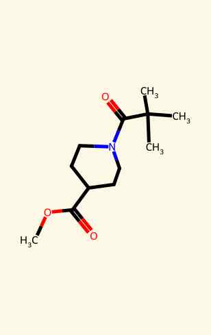 COC(=O)C1CCN(C(=O)C(C)(C)C)CC1